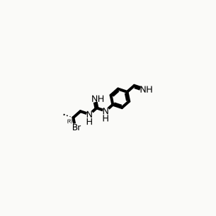 C[C@@H](Br)CNC(=N)Nc1ccc(C=N)cc1